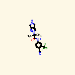 CC(C)(C(=O)Nc1ccc(C#N)c(C(F)(F)F)c1)n1cc2c(n1)CNC2